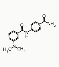 CN(C)c1cccc(C(=O)Nc2ccc(C(N)=O)cc2)c1